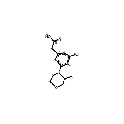 CC1COCCN1c1nc(Cl)cc(CC(=O)O)n1